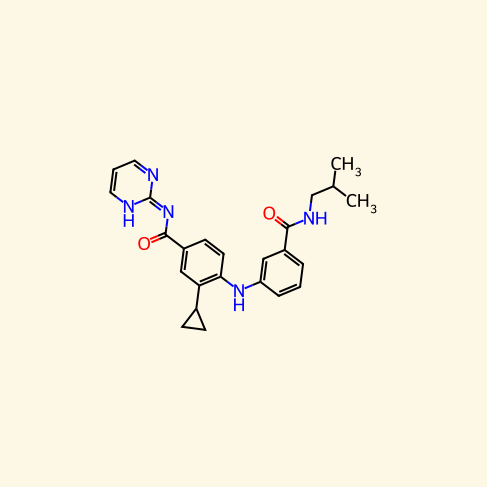 CC(C)CNC(=O)c1cccc(Nc2ccc(C(=O)N=c3nccc[nH]3)cc2C2CC2)c1